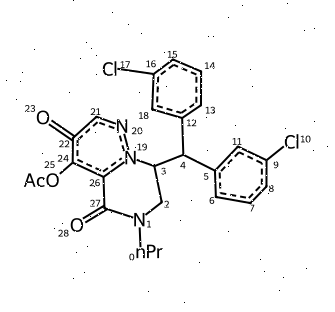 CCCN1CC(C(c2cccc(Cl)c2)c2cccc(Cl)c2)n2ncc(=O)c(OC(C)=O)c2C1=O